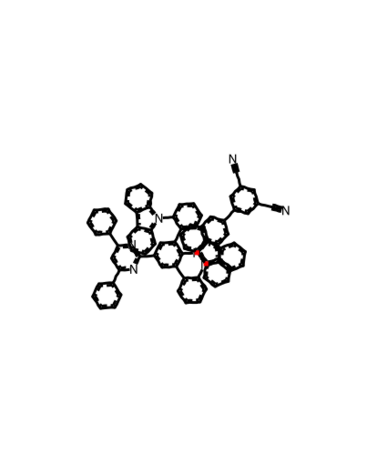 N#Cc1cc(C#N)cc(-c2ccc3c(c2)c2ccccc2n3-c2c(-c3ccccc3-n3c4ccccc4c4ccccc43)cc(-c3nc(-c4ccccc4)cc(-c4ccccc4)n3)cc2-c2ccccc2-n2c3ccccc3c3ccccc32)c1